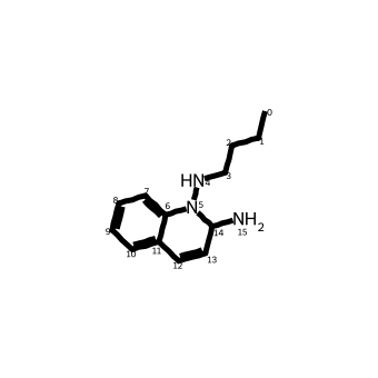 CCCCNN1c2ccccc2C=CC1N